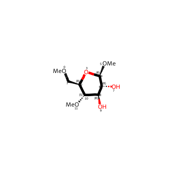 COC[C@H]1O[C@@H](OC)[C@H](O)[C@@H](O)[C@@H]1OC